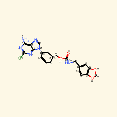 Nc1nc(Cl)nc2c1ncn2[C@H]1C=CC[C@@H](COC(=O)NCc2ccc3c(c2)OCO3)C1